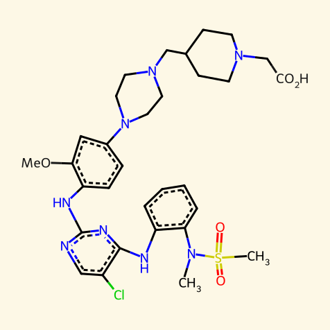 COc1cc(N2CCN(CC3CCN(CC(=O)O)CC3)CC2)ccc1Nc1ncc(Cl)c(Nc2ccccc2N(C)S(C)(=O)=O)n1